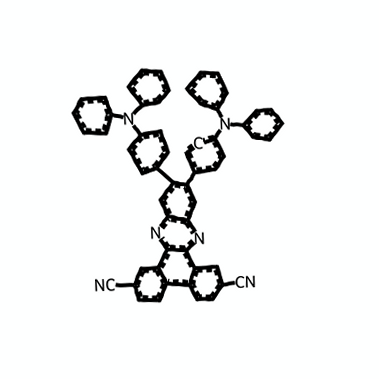 N#Cc1ccc2c3ccc(C#N)cc3c3nc4cc(-c5ccc(N(c6ccccc6)c6ccccc6)cc5)c(-c5ccc(N(c6ccccc6)c6ccccc6)cc5)cc4nc3c2c1